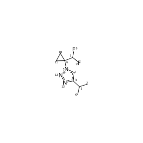 CC(C)c1cn(C2(C(F)F)CC2)nn1